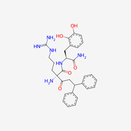 N=C(N)NCCC[C@](N)(C(=O)CC(c1ccccc1)c1ccccc1)C(=O)N[C@@H](Cc1cccc(O)c1O)C(N)=O